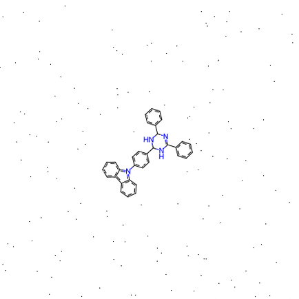 c1ccc(C2=NC(c3ccccc3)NC(c3ccc(-n4c5ccccc5c5ccccc54)cc3)N2)cc1